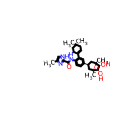 Cc1c[nH]c(C(=O)Nc2ccc([C@@H]3C[C@@]4(C)O[C@@](C)(C3)[C@H](O)[C@@H]4O)cc2C2=CCC(C)(C)CC2)n1